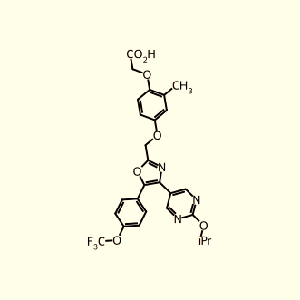 Cc1cc(OCc2nc(-c3cnc(OC(C)C)nc3)c(-c3ccc(OC(F)(F)F)cc3)o2)ccc1OCC(=O)O